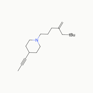 C=C(CCCN1CCC(C#CC)CC1)CC(C)(C)C